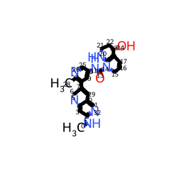 CNc1cc2ncc(-c3cc(NC(=O)N4CC=CC5=C4NCC[C@H]5O)cnc3C)cc2cn1